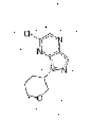 Clc1cnc2cnn(C3CCCOC3)c2n1